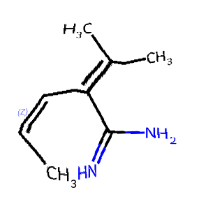 C/C=C\C(C(=N)N)=C(C)C